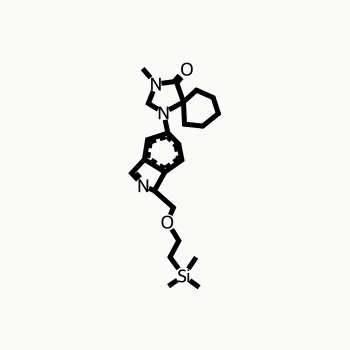 CN1CN(c2ccc3c(c2)C=NC3COCC[Si](C)(C)C)C2(CCCCC2)C1=O